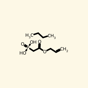 C=CCOC(=O)CP(=O)(O)O.CCCC